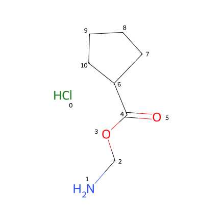 Cl.NCOC(=O)C1CCCC1